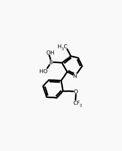 Cc1ccnc(-c2ccccc2OC(F)(F)F)c1B(O)O